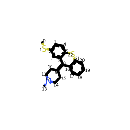 CSc1ccc2c(c1)C(=C1CCN(C)CC1)c1ccccc1S2